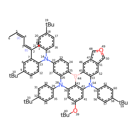 C=C/C(=C\C=C/C)c1cc(C(C)(C)C)ccc1N(c1ccc(C(C)(C)C)cc1)c1ccc2c(c1)N(c1ccc(C(C)(C)C)cc1)c1cc(OC(C)(C)C)cc3c1B2c1cc2cocc2cc1N3c1ccc(C(C)(C)C)cc1